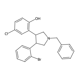 Oc1ccc(Cl)cc1C1CN(Cc2ccccc2)CC1c1ccccc1Br